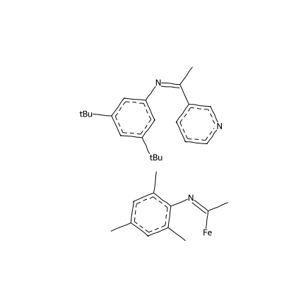 CC(=Nc1cc(C(C)(C)C)cc(C(C)(C)C)c1)c1cccnc1.C[C]([Fe])=Nc1c(C)cc(C)cc1C